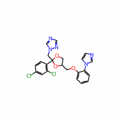 Clc1ccc(C2(Cn3cncn3)OCC(COc3ccccc3-n3ccnc3)O2)c(Cl)c1